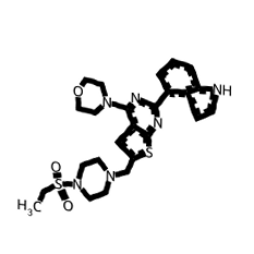 CCS(=O)(=O)N1CCN(Cc2cc3c(N4CCOCC4)nc(-c4cccc5[nH]ccc45)nc3s2)CC1